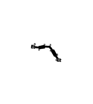 CCC#CCC#CCC